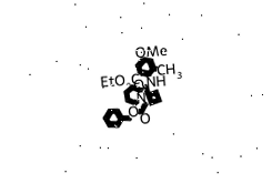 CCOC(=O)c1cc(OC)cc(C)c1NC(=O)C1([N+]2(CC(=O)OCc3ccccc3)CCCCC2)CCC1